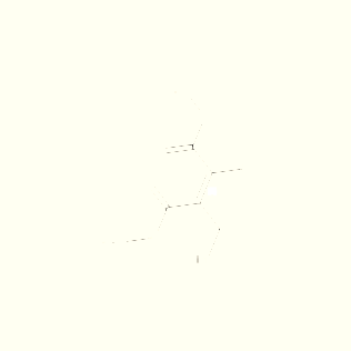 CCCCCCCCOC(=O)/C(CC)=C(/CC(C)C)C(=O)OCCCCCCCC